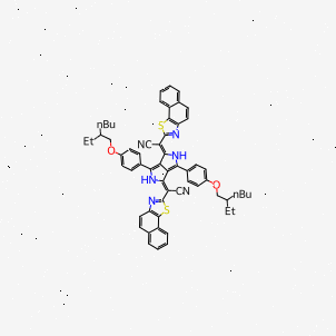 CCCCC(CC)COc1ccc(-c2[nH]/c(=C(/C#N)c3nc4ccc5ccccc5c4s3)c3c(-c4ccc(OCC(CC)CCCC)cc4)[nH]/c(=C(/C#N)c4nc5ccc6ccccc6c5s4)c23)cc1